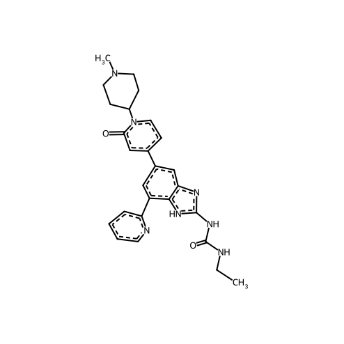 CCNC(=O)Nc1nc2cc(-c3ccn(C4CCN(C)CC4)c(=O)c3)cc(-c3ccccn3)c2[nH]1